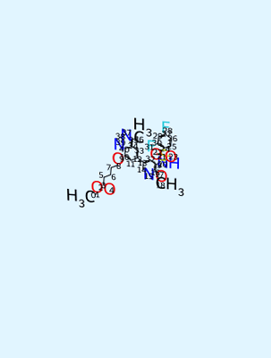 CCOC(=O)CCCCOc1cc(-c2cnc(OC)c(NS(=O)(=O)c3ccc(F)cc3F)c2)cc2c(C)ncnc12